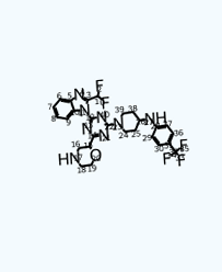 FC(F)c1nc2ccccc2n1-c1nc(C2CNCCO2)nc(N2CCC(Nc3ccc(C(F)(F)F)cc3)CC2)n1